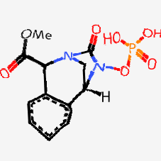 COC(=O)C1c2ccccc2[C@@H]2CN1C(=O)N2OP(=O)(O)O